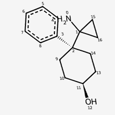 NC1([C@]2(c3ccccc3)CC[C@H](O)CC2)CC1